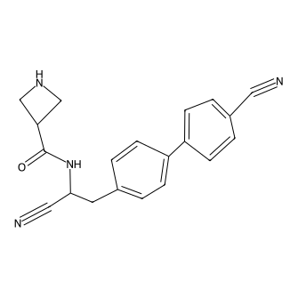 N#Cc1ccc(-c2ccc(CC(C#N)NC(=O)C3CNC3)cc2)cc1